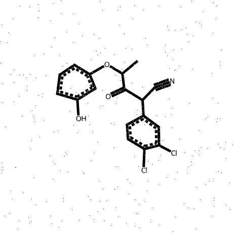 CC(Oc1cccc(O)c1)C(=O)C(C#N)c1ccc(Cl)c(Cl)c1